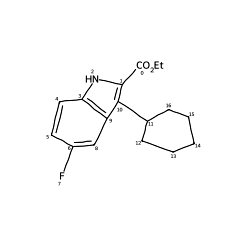 CCOC(=O)c1[nH]c2ccc(F)cc2c1C1CCCCC1